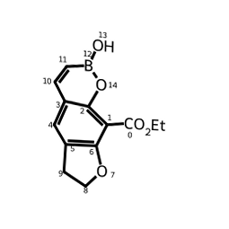 CCOC(=O)c1c2c(cc3c1OCC3)C=CB(O)O2